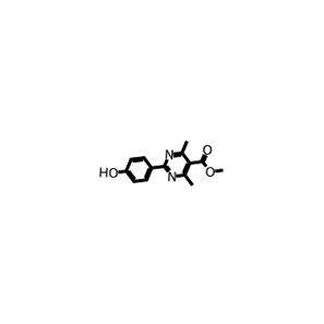 COC(=O)c1c(C)nc(-c2ccc(O)cc2)nc1C